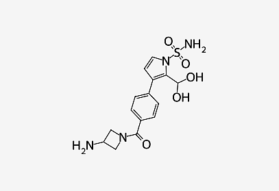 NC1CN(C(=O)c2ccc(-c3ccn(S(N)(=O)=O)c3C(O)O)cc2)C1